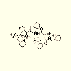 CCCC(CC(=O)N(C)Cc1ccccn1)C(=O)N[C@@H](Cc1ccccc1)[C@@H](O)[C@H](O)[C@H](Cc1ccccc1)NC(=O)[C@@H](CCC)CC(=O)N(C)Cc1ccccn1